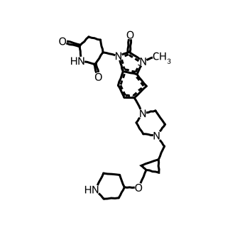 Cn1c(=O)n(C2CCC(=O)NC2=O)c2ccc(N3CCN(CC4CC(OC5CCNCC5)C4)CC3)cc21